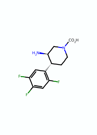 N[C@H]1CN(C(=O)O)CC[C@@H]1c1cc(F)c(F)cc1F